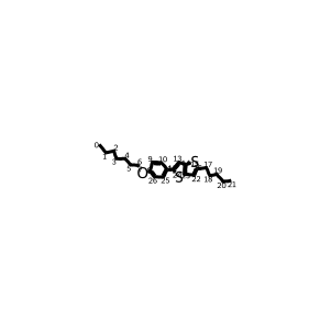 CCCCCCCOc1ccc(-c2cc3sc(CCCCC)cc3s2)cc1